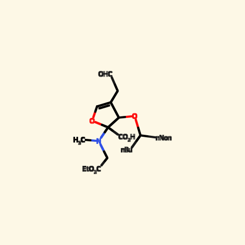 CCCCCCCCCC(CCCC)OC1C(CC=O)=COC1(C(=O)O)N(C)CC(=O)OCC